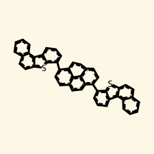 c1ccc2c(c1)ccc1sc3c(-c4ccc5ccc6c(-c7cccc8c7sc7ccc9ccccc9c78)ccc7ccc4c5c76)cccc3c12